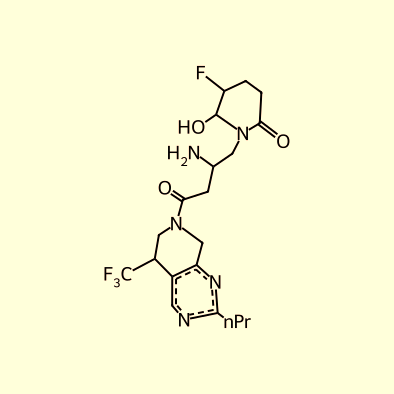 CCCc1ncc2c(n1)CN(C(=O)CC(N)CN1C(=O)CCC(F)C1O)CC2C(F)(F)F